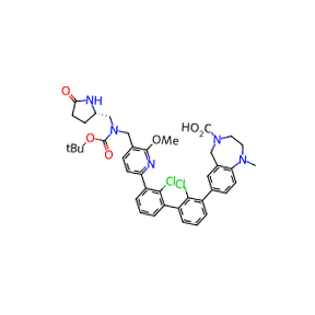 COc1nc(-c2cccc(-c3cccc(-c4ccc5c(c4)CN(C(=O)O)CCN5C)c3Cl)c2Cl)ccc1CN(C[C@@H]1CCC(=O)N1)C(=O)OC(C)(C)C